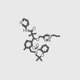 CCCn1cc(COC(c2ccc(C)c(CN3CC(C)(C)Oc4ccccc4S3(=O)=O)c2)C(C)(C)C(=O)Nc2cccnc2)nn1